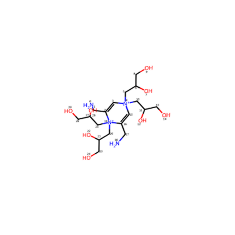 NCC1=C[N+](CC(O)CO)(CC(O)CO)C=C(CN)[N+]1(CC(O)CO)CC(O)CO